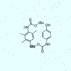 CC(C)(C)OC(=O)Nc1ccc(O)cc1.Cc1cc(O)c(C)c(C)c1NC(=O)OC(C)(C)C